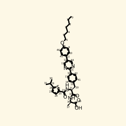 CCCCCCCOc1ccc(-c2cnc(-c3ccc(C[C@H](NC(=O)c4ccc(C(C)C)s4)C(=O)N[C@H](C)C(=O)O)cc3)nc2)cc1